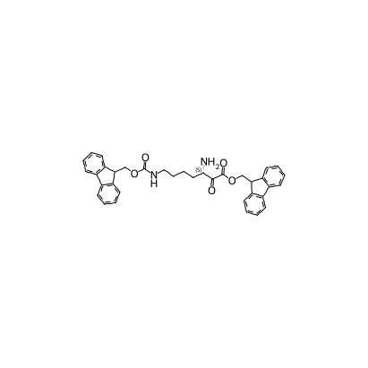 N[C@@H](CCCCNC(=O)OCC1c2ccccc2-c2ccccc21)C(=O)C(=O)OCC1c2ccccc2-c2ccccc21